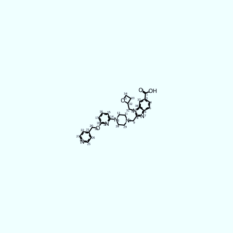 O=C(O)c1ccc2nc(CN3CCN(c4cccc(OCc5ccncc5)n4)CC3)n(CC3CCO3)c2c1